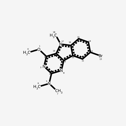 COc1nc(N(C)C)nc2c3cc(Br)ccc3n(C)c12